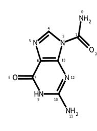 NC(=O)n1cnc2c(=O)[nH]c(N)nc21